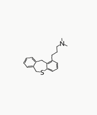 CN(C)CCCc1cccc2c1Cc1ccccc1CS2